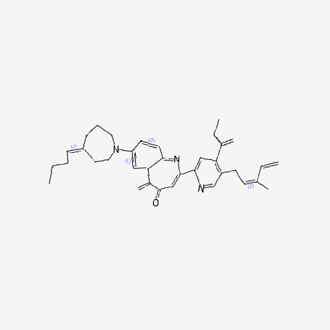 C=C/C(C)=C\Cc1cnc(C2=CC(=O)C(=C)CC(/C=C\C(=C/C)N3CCC/C(=C/CCC)CC3)=N2)cc1C(=C)CC